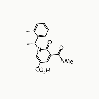 CNC(=O)c1cc(C(=O)O)cn([C@H](C)c2ccccc2C)c1=O